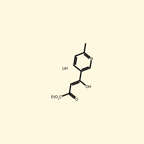 CCOC(=O)C(=O)C=C(O)c1ccc(C)nc1.[LiH]